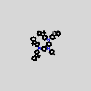 Cc1ccc(-n2c3ccc(N(c4ccc(-c5ccccc5C)c(C(C)C)c4)c4ccc5c(c4)C(C)(C)c4ccccc4-5)cc3c3cc(N(c4ccc5c(c4)C(C)(C)C4=C5CCC=C4)c4ccc5c(c4)C(C)(C)c4ccccc4-5)ccc32)cc1